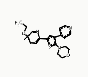 CC1(OCC(F)(F)F)C=NC(c2cc(-c3ccncc3)c(N3CCOCC3)s2)=CC1